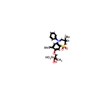 CCCCC1(CC)CN(c2ccccc2)c2cc(SC)c(OC[C@@](C)(O)C(=O)O)cc2S(=O)(=O)C1